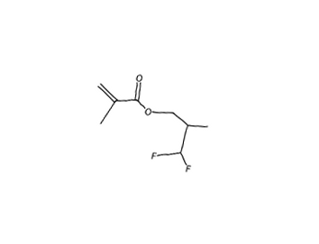 C=C(C)C(=O)OCC(C)C(F)F